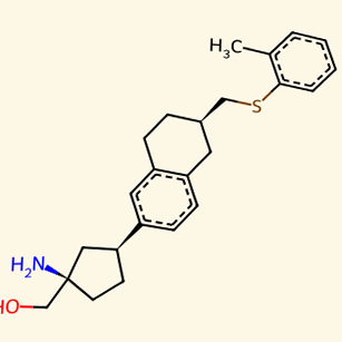 Cc1ccccc1SC[C@@H]1CCc2cc([C@H]3CC[C@](N)(CO)C3)ccc2C1